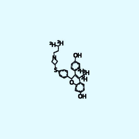 [2H]C([2H])CCN1CC(Sc2ccc(C3Oc4cc(O)ccc4C(C([2H])([2H])[2H])=C3c3ccc(O)cc3)cc2)C1